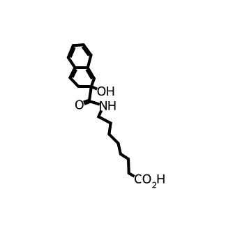 O=C(O)CCCCCCCNC(=O)C1(O)C=c2ccccc2=CC1